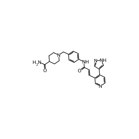 NC(=O)C1CCN(Cc2ccc(NC(=O)/C=C/c3cnccc3-c3cn[nH]c3)cc2)CC1